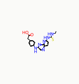 CCNC(=S)Nc1ccc2ncc(Nc3ccc(CC(=O)O)cc3)nc2n1